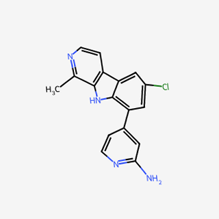 Cc1nccc2c1[nH]c1c(-c3ccnc(N)c3)cc(Cl)cc12